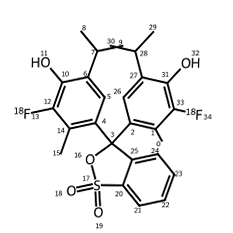 Cc1c(C2(c3cc(C(C)C)c(O)c([18F])c3C)OS(=O)(=O)c3ccccc32)cc(C(C)C)c(O)c1[18F]